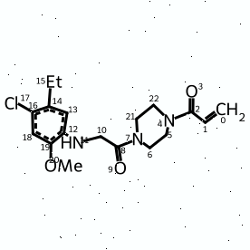 C=CC(=O)N1CCN(C(=O)CNc2cc(CC)c(Cl)cc2OC)CC1